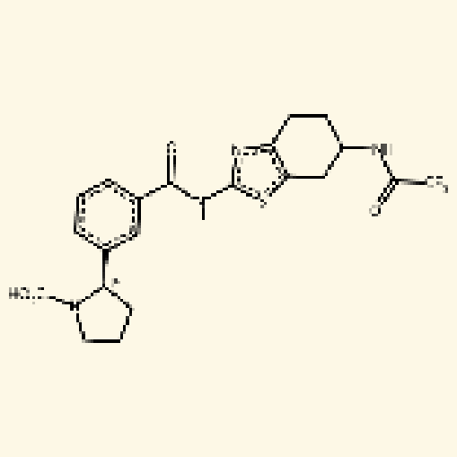 O=C(Nc1nc2c(s1)CC(NC(=O)C(F)(F)F)CC2)c1cccc([C@H]2CCCN2C(=O)O)c1